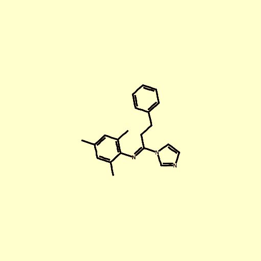 Cc1cc(C)c(N=C(CCc2ccccc2)n2ccnc2)c(C)c1